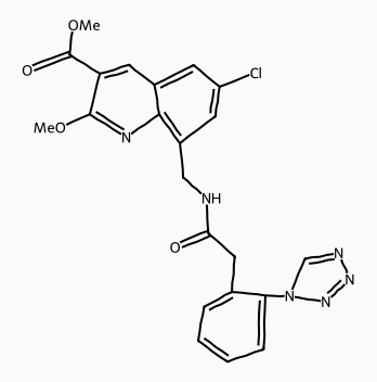 COC(=O)c1cc2cc(Cl)cc(CNC(=O)Cc3ccccc3-n3cnnn3)c2nc1OC